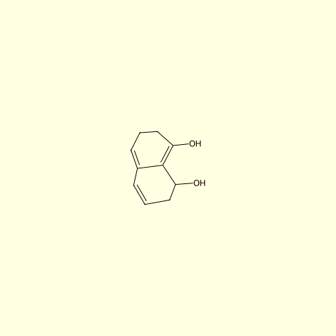 OC1=C2C(=CCC1)C=CCC2O